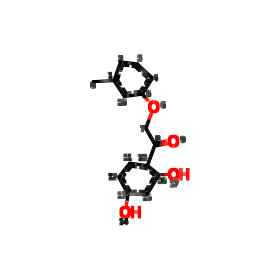 Cc1cccc(OCC(=O)c2ccc(O)cc2O)c1